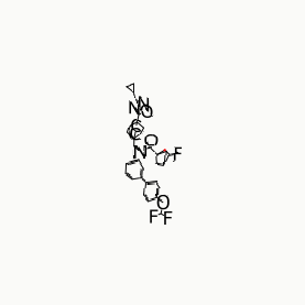 O=C(N(CC12CCC(c3nc(C4CC4)no3)(CC1)CC2)c1cccc(-c2ccc(OC(F)F)cc2)c1)C12CC(F)C(C1)C2